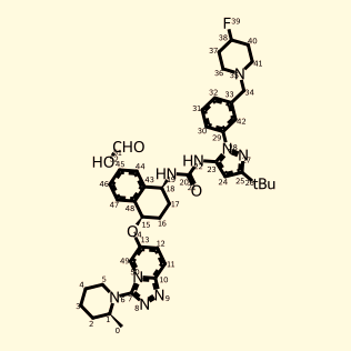 C[C@H]1CCCCN1c1nnc2ccc(O[C@@H]3CC[C@H](NC(=O)Nc4cc(C(C)(C)C)nn4-c4cccc(CN5CCC(F)CC5)c4)c4ccccc43)cn12.O=CO